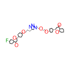 O=c1cc(-c2ccc(OCCOCCn3cc(CCCOc4ccc(-c5cc(=O)c6ccc(F)cc6o5)cc4)nn3)cc2)oc2ccccc12